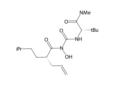 C=CC[C@H](CCC(C)C)C(=O)N(O)C(=O)N[C@H](C(=O)NC)C(C)(C)C